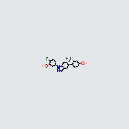 Oc1ccc(-c2ccc3c(cnn3-c3ccc(F)c(O)c3)c2)c(C(F)(F)F)c1